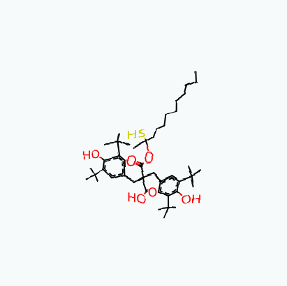 CCCCCCCCCCC(C)(S)OC(=O)C(Cc1cc(C(C)(C)C)c(O)c(C(C)(C)C)c1)(Cc1cc(C(C)(C)C)c(O)c(C(C)(C)C)c1)C(=O)O